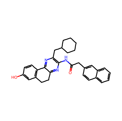 O=C(Cc1ccc2ccccc2c1)Nc1nc2c(nc1CC1CCCCC1)-c1ccc(O)cc1CC2